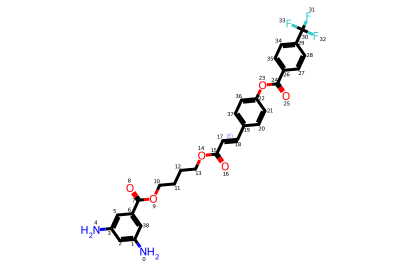 Nc1cc(N)cc(C(=O)OCCCCOC(=O)/C=C/c2ccc(OC(=O)c3ccc(C(F)(F)F)cc3)cc2)c1